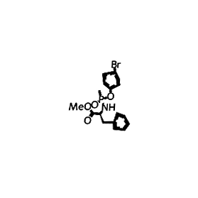 COC(=O)[C@H](Cc1ccccc1)NP(C)(=O)Oc1ccc(Br)cc1